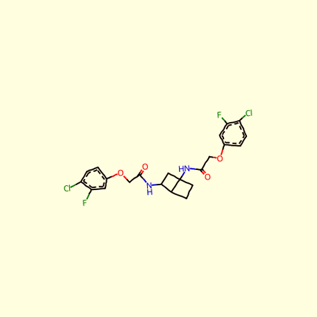 O=C(COc1ccc(Cl)c(F)c1)NC1CC2(NC(=O)COc3ccc(Cl)c(F)c3)CCC12